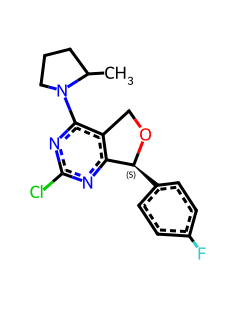 CC1CCCN1c1nc(Cl)nc2c1CO[C@H]2c1ccc(F)cc1